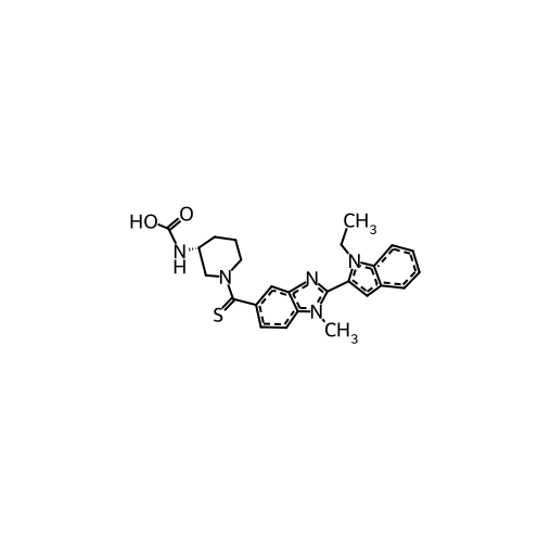 CCn1c(-c2nc3cc(C(=S)N4CCC[C@@H](NC(=O)O)C4)ccc3n2C)cc2ccccc21